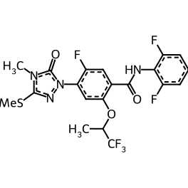 CSc1nn(-c2cc(OC(C)C(F)(F)F)c(C(=O)Nc3c(F)cccc3F)cc2F)c(=O)n1C